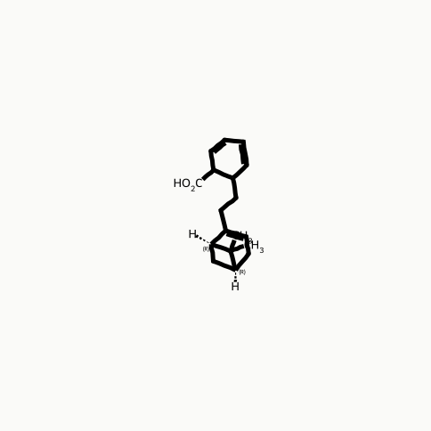 CC1(C)[C@H]2CC=C(CCC3C=CC=CC3C(=O)O)[C@@H]1C2